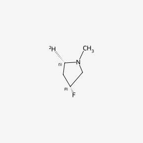 [2H][C@H]1C[C@@H](F)CN1C